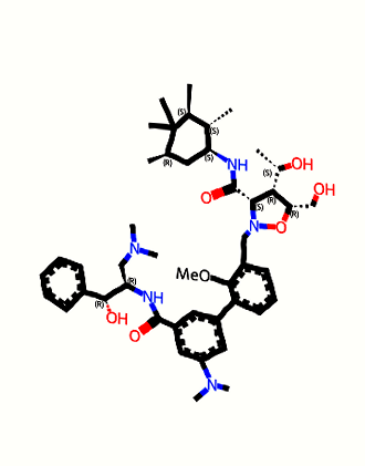 COc1c(CN2O[C@@H](CO)[C@@H]([C@H](C)O)[C@H]2C(=O)N[C@H]2C[C@@H](C)C(C)(C)[C@@H](C)[C@@H]2C)cccc1-c1cc(C(=O)N[C@H](CN(C)C)[C@H](O)c2ccccc2)cc(N(C)C)c1